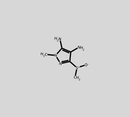 Cn1nc([S+](C)[O-])c(N)c1N